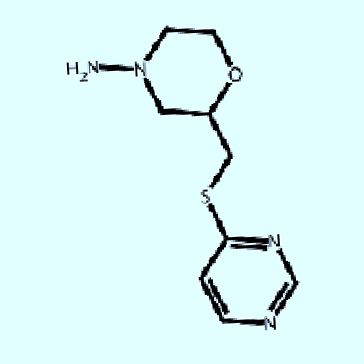 NN1CCOC(CSc2ccncn2)C1